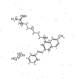 Cc1ccc2nc(C=Cc3ccccn3)nc(NCCCOCCNC(=N)N)c2c1.Cl.Cl.Cl